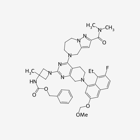 CCc1c(F)ccc2cc(OCOC)cc(N3CCc4c(nc(N5CC(C)(NC(=O)OCc6ccccc6)C5)nc4N4CCCn5nc(C(=O)N(C)C)cc5C4)C3)c12